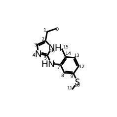 CCc1cnc(Nc2cc(SC)ccc2C)[nH]1